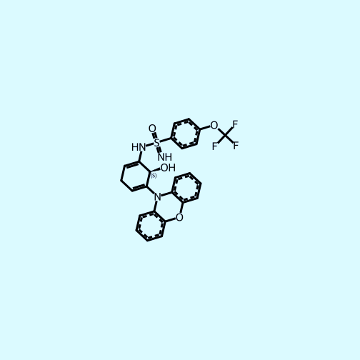 N=S(=O)(NC1=CCC=C(N2c3ccccc3Oc3ccccc32)[C@@H]1O)c1ccc(OC(F)(F)F)cc1